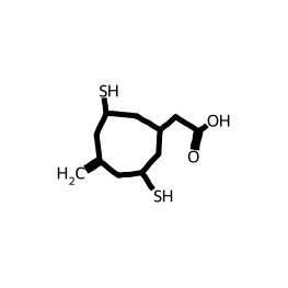 C=C1CC(S)CC(CC(=O)O)CC(S)C1